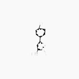 CCn1nc(-c2ccc(Br)cc2)cc1N